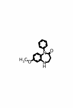 COc1ccc2c(c1)NCCC(=O)N2c1ccccc1